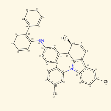 C[C@H]1C=Cc2c(n(-c3cccc(C#N)c3)c3ccc(C#N)cc23)C1c1cccc(NC2=C(C3=CCCC=C3)CCC=C2)c1